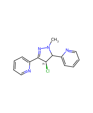 CN1N=C(c2ccccn2)[C@H](Cl)C1c1ccccn1